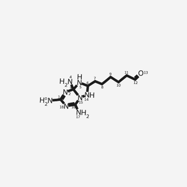 NC1=NC2(N)NC(CCCCCC=O)NN2C(N)=N1